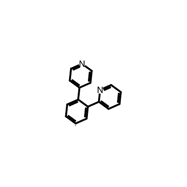 [c]1ccc(-c2ccncc2)c(-c2ccccn2)c1